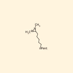 CCCCCCCCCCC1N(C)N1C